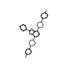 Cc1ccc(C2CCC(c3ccc(C4CCC(c5ccc(C)cc5)CC4)c4sc(-c5ccccc5)nc34)CC2)cc1